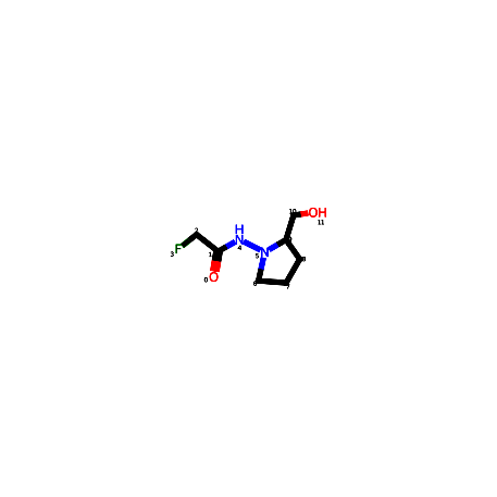 O=C(CF)NN1CCCC1CO